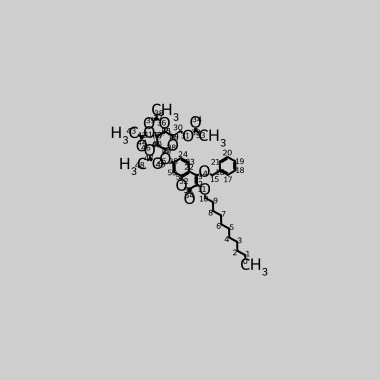 CCCCCCCCCCCOc1c(OCc2ccccc2)c2ccc(O[C@@H]3O[C@H](COC(C)=O)[C@@H](OC(C)=O)[C@H](OC(C)=O)[C@H]3OC(C)=O)cc2oc1=O